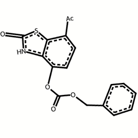 CC(=O)c1ccc(OC(=O)OCc2ccccc2)c2[nH]c(=O)sc12